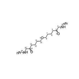 CCCNCC(=O)CCCCOCCCCC(=O)CNCCC